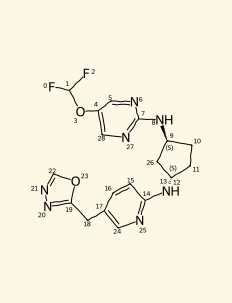 FC(F)Oc1cnc(N[C@H]2CC[C@H](Nc3ccc(Cc4nnco4)cn3)C2)nc1